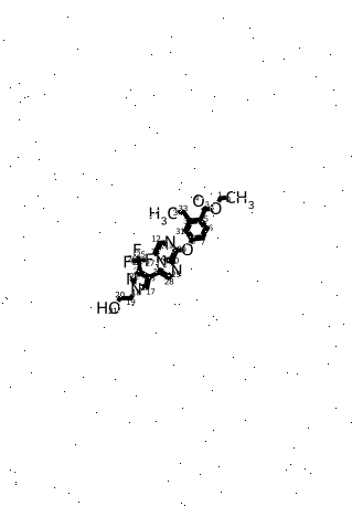 CCOC(=O)c1ccc(Oc2nccn3c(-c4cn(CCO)nc4C(F)(F)F)cnc23)cc1CC